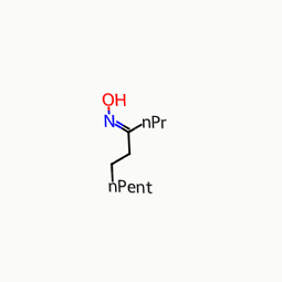 CCCCCCCC(CCC)=NO